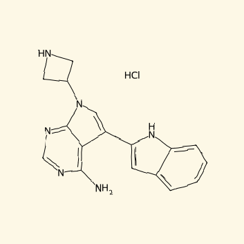 Cl.Nc1ncnc2c1c(-c1cc3ccccc3[nH]1)cn2C1CNC1